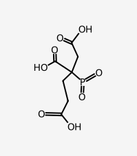 O=C(O)CCC(CC(=O)O)(C(=O)O)P(=O)=O